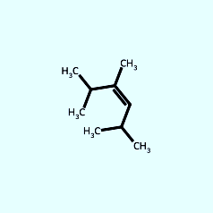 CC(=CC(C)C)C(C)C